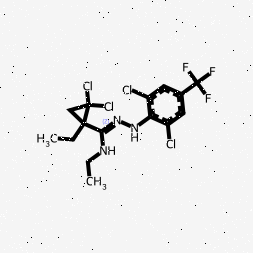 CCN/C(=N\Nc1c(Cl)cc(C(F)(F)F)cc1Cl)C1(CC)CC1(Cl)Cl